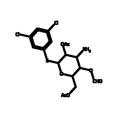 CC(=O)OCC1OC(Sc2cc(Cl)cc(Cl)c2)C(OC(C)=O)C(N)C1OC=O